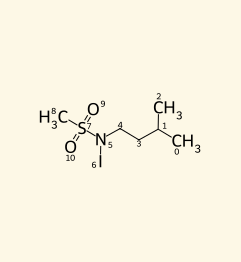 CC(C)CCN(I)S(C)(=O)=O